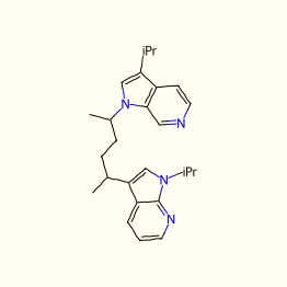 CC(C)c1cn(C(C)CCC(C)c2cn(C(C)C)c3ncccc23)c2cnccc12